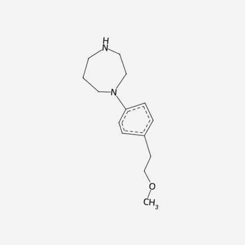 COCCc1ccc(N2CCCNCC2)cc1